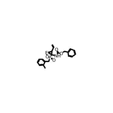 C=CC1CC1(NC(=O)OCc1ccccc1)P(=O)(Cc1ccccc1C)OCC